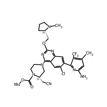 Cc1cc(N)nc(-c2cc3nc(OC[C@@H]4CCCN4C)nc(N4CCN(C(=O)OC(C)(C)C)[C@@H](CC#N)C4)c3cc2Cl)c1C(F)(F)F